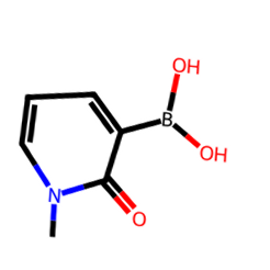 Cn1cccc(B(O)O)c1=O